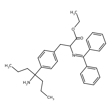 CCCC(N)(CCC)c1ccc(CC(N=C(c2ccccc2)c2ccccc2)C(=O)OCC)cc1